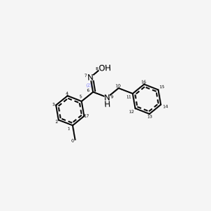 Cc1cccc(/C(=N/O)NCc2ccccc2)c1